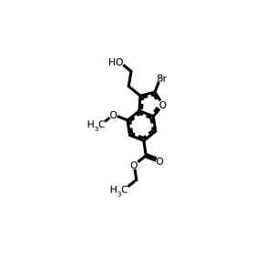 CCOC(=O)c1cc(OC)c2c(CCO)c(Br)oc2c1